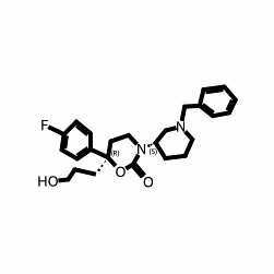 O=C1O[C@@](CCCO)(c2ccc(F)cc2)CCN1[C@H]1CCCN(Cc2ccccc2)C1